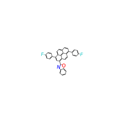 Fc1ccc(-c2ccc3ccc4c(-c5ccc(F)cc5)cc(-c5nc6ccccc6o5)c5ccc2c3c45)cc1